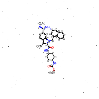 CC(=O)ON=C(N)c1ccc2c([N+](=O)[O-])c(C(=O)N[C@H]3CC[C@H](NC(=O)OC(C)(C)C)CC3)n(Cc3cccc4ccccc34)c2c1